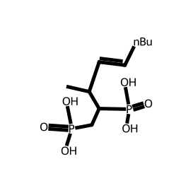 CCCCC=CC(C)C(CP(=O)(O)O)P(=O)(O)O